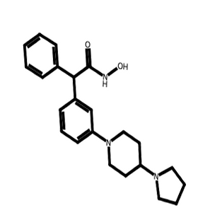 O=C(NO)C(c1ccccc1)c1cccc(N2CCC(N3CCCC3)CC2)c1